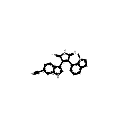 Cn1ccc2cccc(C3=C(c4c[nH]c5cc(C#N)ccc45)C(=O)NC3=O)c21